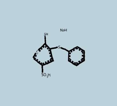 O=S(=O)(O)c1ccc(S)c(Sc2ccccc2)c1.[NaH]